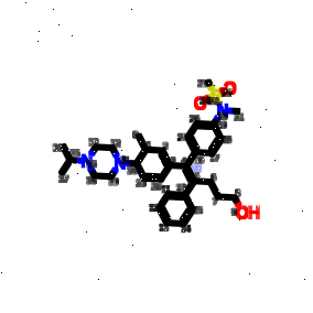 CC1C=C(/C(=C(/CCCO)c2ccccc2)c2ccc(N(C)S(C)(=O)=O)cc2)C=CC1N1CCN(C(C)C)CC1